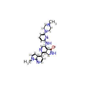 CN1CCN(c2cccc(Nc3cnc(-c4ccnc5c4ccn5C)c4c3C(=O)NC4)n2)CC1